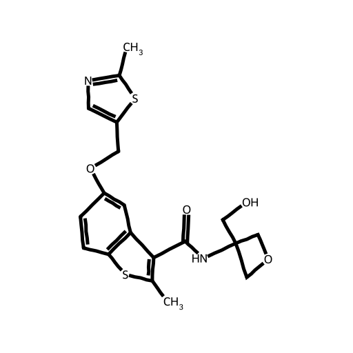 Cc1ncc(COc2ccc3sc(C)c(C(=O)NC4(CO)COC4)c3c2)s1